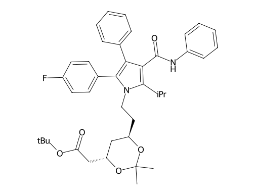 CC(C)c1c(C(=O)Nc2ccccc2)c(-c2ccccc2)c(-c2ccc(F)cc2)n1CC[C@@H]1C[C@@H](CC(=O)OC(C)(C)C)OC(C)(C)O1